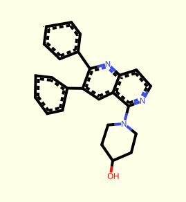 OC1CCN(c2nccc3nc(-c4cc[c]cc4)c(-c4ccccc4)cc23)CC1